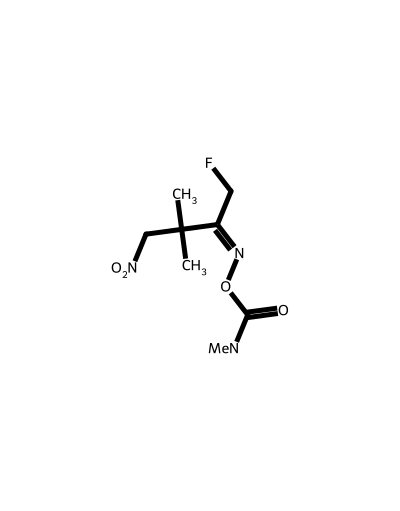 CNC(=O)ON=C(CF)C(C)(C)C[N+](=O)[O-]